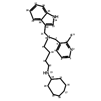 Fc1ncccc1CN(CCCCNC1CCCCCC1)Cc1c[nH]c2ccccc12